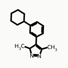 CC1=C(c2cccc(C3CCCCC3)c2)C(C)N=N1